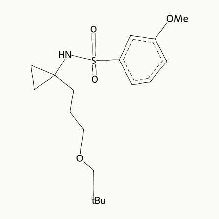 COc1cccc(S(=O)(=O)NC2(CCCOCC(C)(C)C)CC2)c1